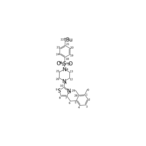 Cc1cccc(Cc2csc(N3CCN(S(=O)(=O)c4ccc(C(C)(C)C)cc4)CC3)n2)c1C